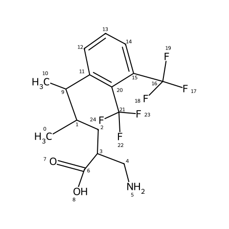 CC(CC(CN)C(=O)O)C(C)c1cccc(C(F)(F)F)c1C(F)(F)F